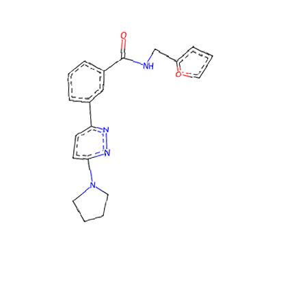 O=C(NCc1ccco1)c1cccc(-c2ccc(N3CCCC3)nn2)c1